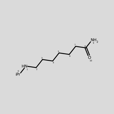 CC(C)NCCCCCCC(N)=O